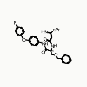 CCCC(=N)CC(=O)N[C@@H](COCc1ccccc1)C(=O)Nc1ccc(Oc2ccc(F)cc2)cc1